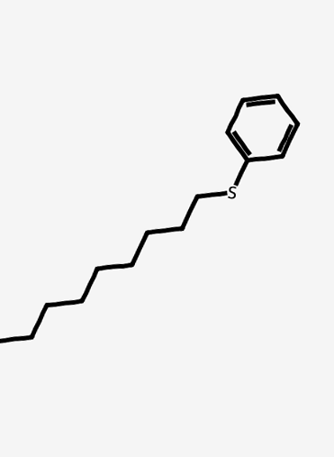 FCCCCCCCCCSc1ccccc1